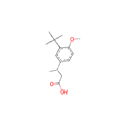 COc1ccc(C(C)CC(=O)O)cc1C(C)(C)C